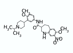 COc1ccc(NC(=O)C2CCc3cc(OC)c([N+](=O)[O-])cc3NC2)cc1C1CCN(C(C)C)CC1